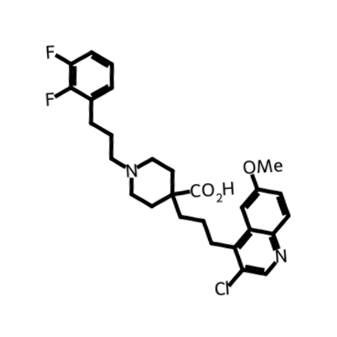 COc1ccc2ncc(Cl)c(CCCC3(C(=O)O)CCN(CCCc4cccc(F)c4F)CC3)c2c1